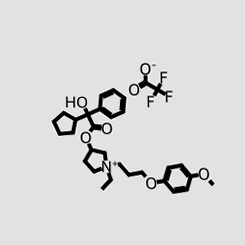 CC[N+]1(CCCOc2ccc(OC)cc2)CCC(OC(=O)C(O)(c2ccccc2)C2CCCC2)C1.O=C([O-])C(F)(F)F